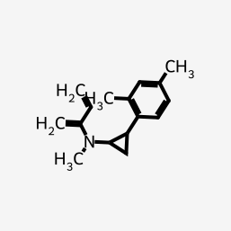 C=CC(=C)N(C)C1CC1c1ccc(C)cc1C